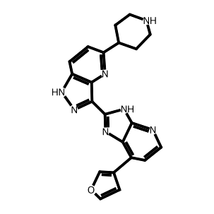 c1cc(-c2ccoc2)c2nc(-c3n[nH]c4ccc(C5CCNCC5)nc34)[nH]c2n1